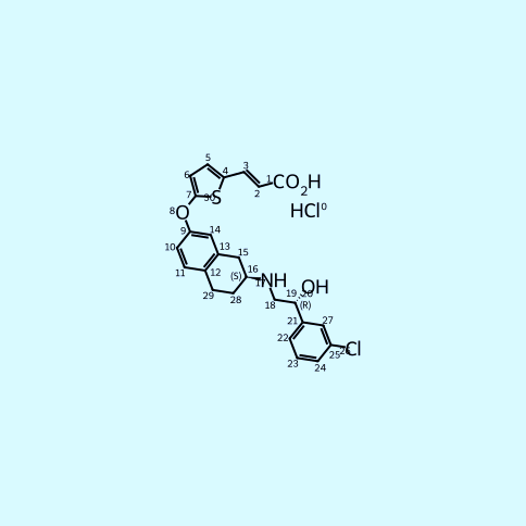 Cl.O=C(O)C=Cc1ccc(Oc2ccc3c(c2)C[C@@H](NC[C@H](O)c2cccc(Cl)c2)CC3)s1